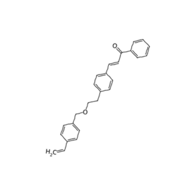 C=Cc1ccc(COCCc2ccc(C=CC(=O)c3ccccc3)cc2)cc1